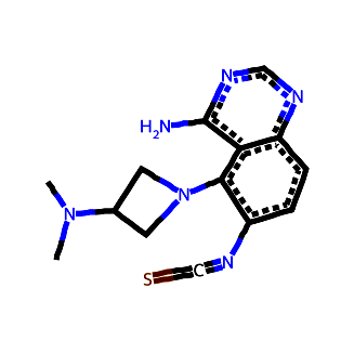 CN(C)C1CN(c2c(N=C=S)ccc3ncnc(N)c23)C1